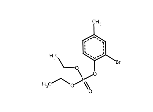 CCOP(=O)(OCC)Oc1ccc(C)cc1Br